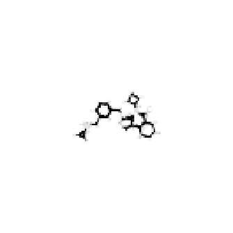 O=c1c2c(c3cnn(Cc4cccc(CNC5CC5)c4)c3n1C1CCC1)CCCC2